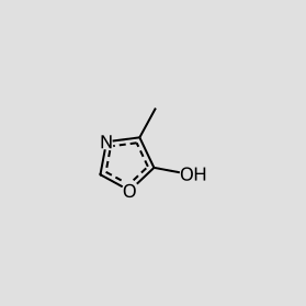 Cc1ncoc1O